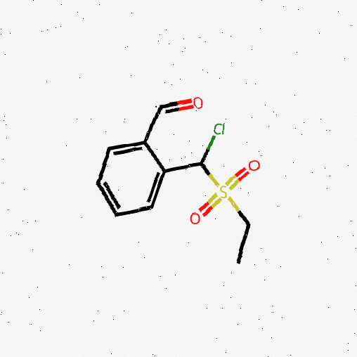 CCS(=O)(=O)C(Cl)c1ccccc1[C]=O